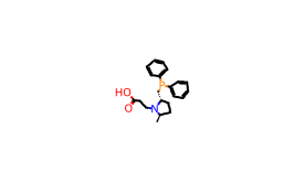 C[C@@H]1CC[C@@H](CP(c2ccccc2)c2ccccc2)N1CCC(=O)O